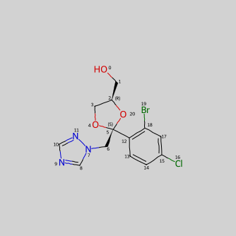 OC[C@@H]1CO[C@@](Cn2cncn2)(c2ccc(Cl)cc2Br)O1